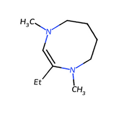 CC/C1=C/N(C)CCCCN1C